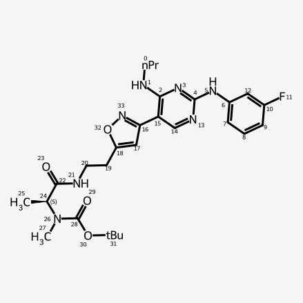 CCCNc1nc(Nc2cccc(F)c2)ncc1-c1cc(CCNC(=O)[C@H](C)N(C)C(=O)OC(C)(C)C)on1